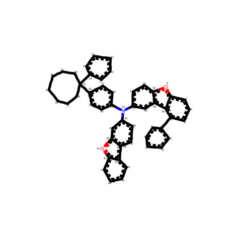 c1ccc(-c2cccc3oc4ccc(N(c5ccc(C6(c7ccccc7)CCCCCCC6)cc5)c5ccc6c(c5)oc5ccccc56)cc4c23)cc1